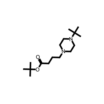 CC(C)(C)OC(=O)CCCN1CCN(C(C)(C)C)CC1